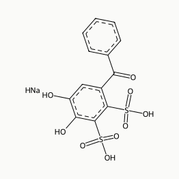 O=C(c1ccccc1)c1cc(O)c(O)c(S(=O)(=O)O)c1S(=O)(=O)O.[NaH]